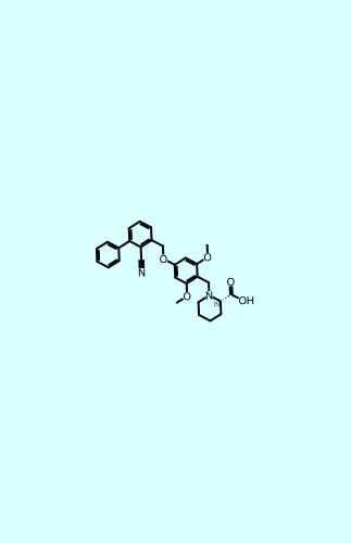 COc1cc(OCc2cccc(-c3ccccc3)c2C#N)cc(OC)c1CN1CCCC[C@H]1C(=O)O